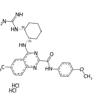 COc1ccc(NC(=O)c2nc(N[C@H]3CCCC[C@H]3NC(=N)N)c3cc(C)ccc3n2)cc1.Cl.Cl